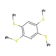 CC(C)Sc1[c]c(SC(C)C)c(SC(C)C)cc1SC(C)C